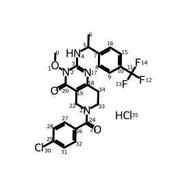 COn1c(NC(C)c2ccc(C(F)(F)F)cc2)nc2c(c1=O)CN(C(=O)c1ccc(Cl)cc1)CC2.Cl